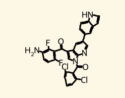 Nc1ccc(F)c(C(=O)c2cn(C(=O)c3c(Cl)cccc3Cl)c3ncc(-c4ccc5[nH]ccc5c4)cc23)c1F